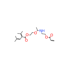 C=CC(=O)OCCNC(C)OCCOC(=O)C(C=C(C)C)=C(C)C